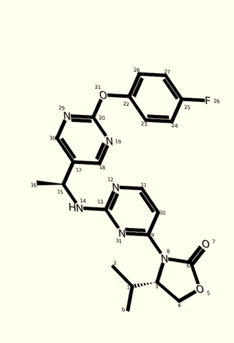 CC(C)[C@H]1COC(=O)N1c1ccnc(N[C@@H](C)c2cnc(Oc3ccc(F)cc3)nc2)n1